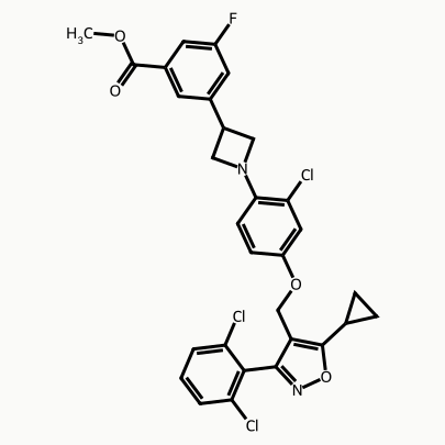 COC(=O)c1cc(F)cc(C2CN(c3ccc(OCc4c(-c5c(Cl)cccc5Cl)noc4C4CC4)cc3Cl)C2)c1